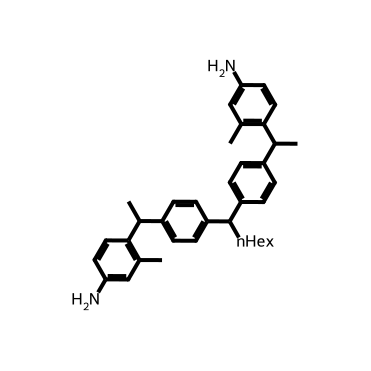 CCCCCCC(c1ccc(C(C)c2ccc(N)cc2C)cc1)c1ccc(C(C)c2ccc(N)cc2C)cc1